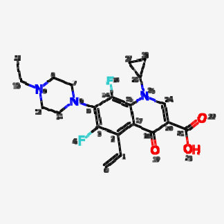 C=Cc1c(F)c(N2CCN(CC)CC2)c(F)c2c1c(=O)c(C(=O)O)cn2C1CC1